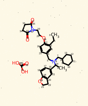 CCc1cc(CN(CC2CCCCC2)C(C)c2ccc3c(c2)CCO3)ccc1OCCN1C(=O)CCC1=O.O=C(O)O